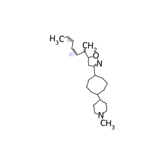 C=C(/C=C\C=C/C)C1CC(C2CCCC(C3CCN(C)CC3)CCC2)=NO1